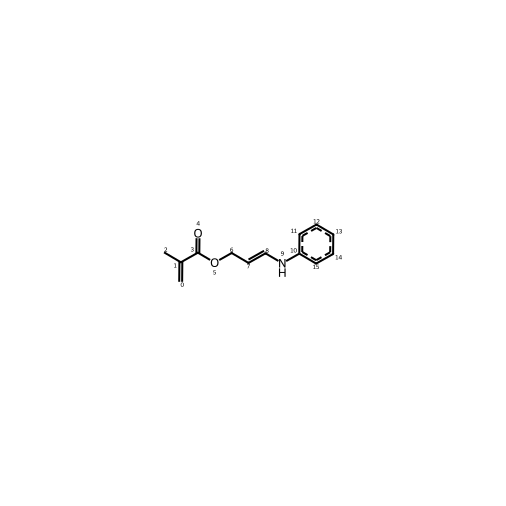 C=C(C)C(=O)OCC=CNc1ccccc1